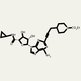 CCOC(=O)N1CCC(CC#Cc2nc(N)c3ncn([C@@H]4O[C@H](C(=O)NC5CC5)C(O)[C@@H]4O)c3n2)CC1